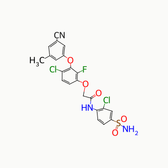 Cc1cc(C#N)cc(Oc2c(Cl)ccc(OCC(=O)Nc3ccc(S(N)(=O)=O)cc3Cl)c2F)c1